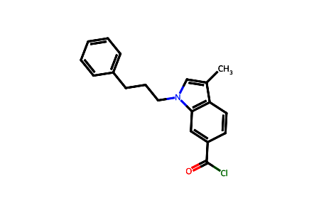 Cc1cn(CCCc2ccccc2)c2cc(C(=O)Cl)ccc12